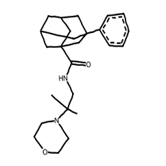 CC(C)(CNC(=O)C12CC3CC(C1)CC(c1ccccc1)(C3)C2)N1CCOCC1